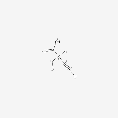 CCC(C)(C#CCl)C(=O)O